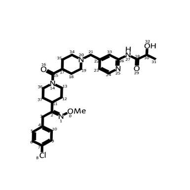 CON=C(Cc1ccc(Cl)cc1)C1CCN(C(=O)C2CCN(Cc3ccnc(NC(=O)C(C)O)c3)CC2)CC1